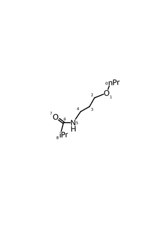 CCCOCCCNC(=O)C(C)C